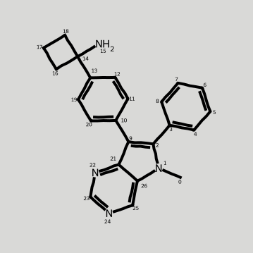 Cn1c(-c2ccccc2)c(-c2ccc(C3(N)CCC3)cc2)c2ncncc21